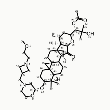 COCCN1CC(CN2CCO[C@@H](O[C@H]3CCC45C[C@]46CC[C@]4(C)[C@@H]7C(OC([C@H](OC(C)=O)C(C)(C)O)C[C@H]7C)C(=O)[C@@]4(C)C6CC[C@H]5C3(C)C)C2)C1